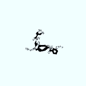 CCCCCN(Cc1ccc(NC(=O)c2cccc(C)c2C(=O)O)cc1)C(=O)CNC(=O)C(CS)CC(C)C